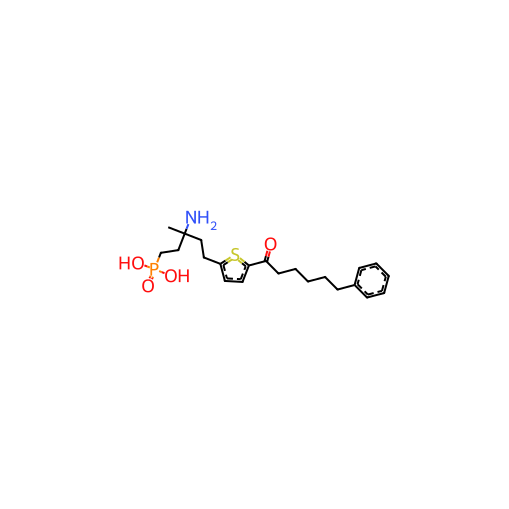 CC(N)(CCc1ccc(C(=O)CCCCCc2ccccc2)s1)CCP(=O)(O)O